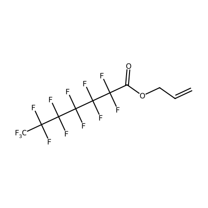 C=CCOC(=O)C(F)(F)C(F)(F)C(F)(F)C(F)(F)C(F)(F)C(F)(F)F